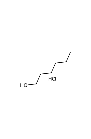 CCCCCCO.Cl